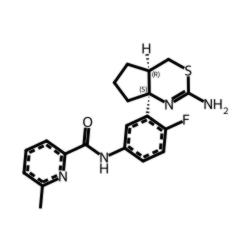 Cc1cccc(C(=O)Nc2ccc(F)c([C@]34CCC[C@H]3CSC(N)=N4)c2)n1